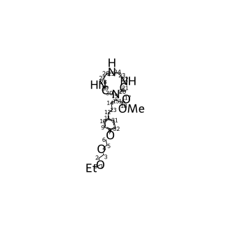 CCOCCOCCOc1ccc(CCCC(C(=O)OC)N2CCNCCNCCNCC2)cc1